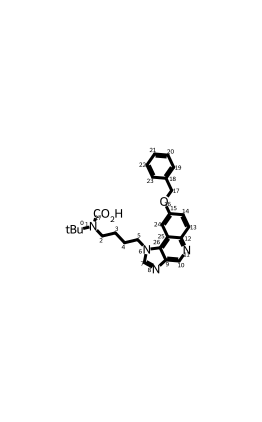 CC(C)(C)N(CCCCn1cnc2cnc3ccc(OCc4ccccc4)cc3c21)C(=O)O